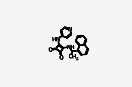 CC(Nc1c(Nc2ccncc2)c(=O)c1=O)c1cccc2ccccc12